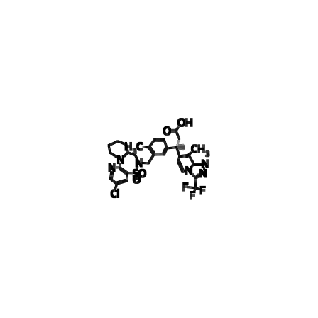 Cc1ccc([C@H](CC(=O)O)c2ccn3c(C(F)(F)F)nnc3c2C)cc1CN1CC2CCCCN2c2ncc(Cl)cc2S1(=O)=O